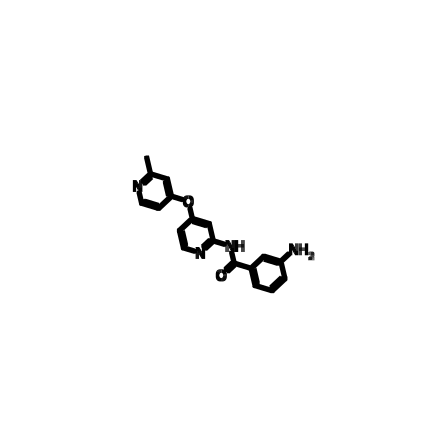 Cc1cc(Oc2ccnc(NC(=O)c3cccc(N)c3)c2)ccn1